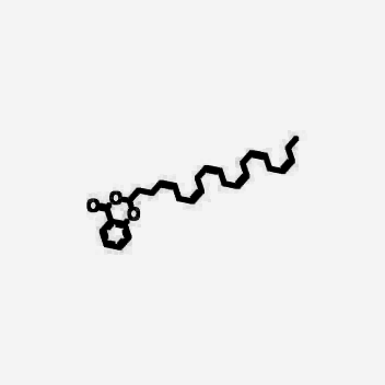 CC/C=C\C/C=C\C/C=C\C/C=C\C/C=C\C/C=C\CCC1OC(=O)c2ccccc2O1